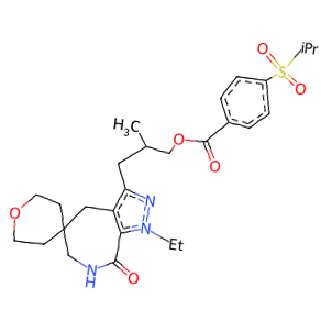 CCn1nc(CC(C)COC(=O)c2ccc(S(=O)(=O)C(C)C)cc2)c2c1C(=O)NCC1(CCOCC1)C2